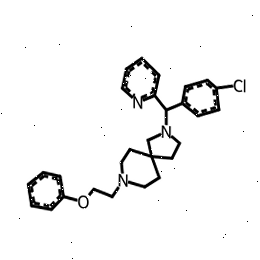 Clc1ccc(C(c2ccccn2)N2CCC3(CCN(CCOc4ccccc4)CC3)C2)cc1